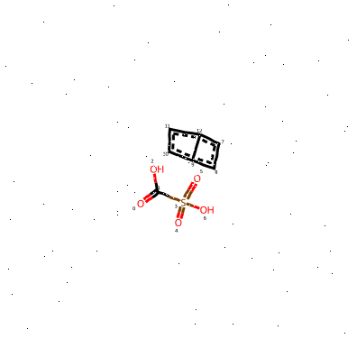 O=C(O)S(=O)(=O)O.c1cc2ccc1-2